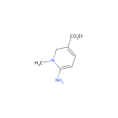 CCOC(=O)C1=CC=C(N)N(C)C1